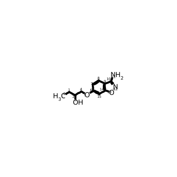 CCC(O)COc1ccc2c(N)noc2c1